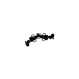 Cn1c2ccccc2c2cc(-c3ccc4c5c(cccc35)C(=O)N(c3ccc(-c5nnc(-c6ccc(N7C(=O)c8cccc9c(-c%10ccc%11c(c%10)c%10ccccc%10n%11C)ccc(c89)C7=O)cc6)o5)cc3)C4=O)ccc21